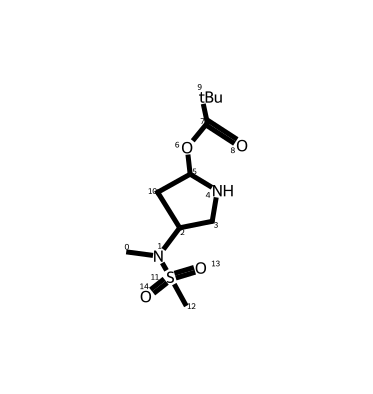 CN(C1CNC(OC(=O)C(C)(C)C)C1)S(C)(=O)=O